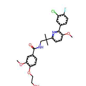 COc1cc(C(=O)NCC(C)(C)c2ccc(OC)c(-c3ccc(F)c(Cl)c3)n2)ccc1OCCO